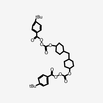 CC(C)(C)c1ccc(C(=O)OOC(=O)OC2CCC(CC3CCC(OC(=O)OOC(=O)c4ccc(C(C)(C)C)cc4)CC3)CC2)cc1